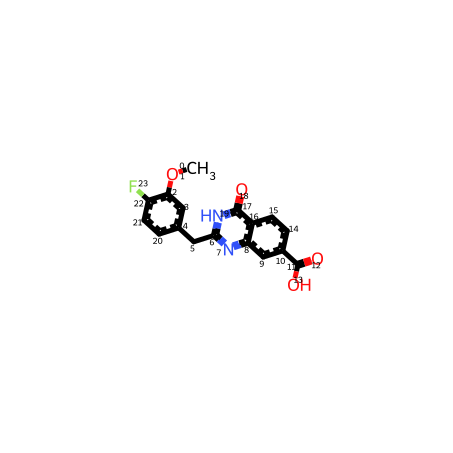 COc1cc(Cc2nc3cc(C(=O)O)ccc3c(=O)[nH]2)ccc1F